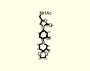 CC(=O)NCC1CN(c2ccc(N3CCC4(OCCO4)C(F)C3)c(F)c2)C(=O)O1